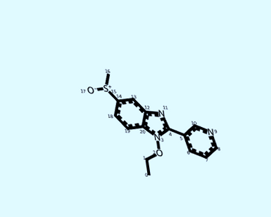 CCOn1c(-c2cccnc2)nc2cc([S+](C)[O-])ccc21